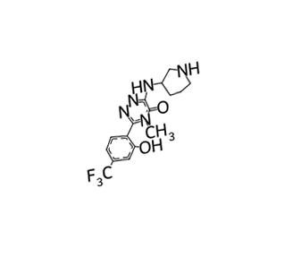 Cn1c(-c2ccc(C(F)(F)F)cc2O)nnc(NC2CCCNC2)c1=O